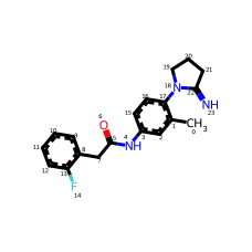 Cc1cc(NC(=O)Cc2ccccc2F)ccc1N1CCCC1=N